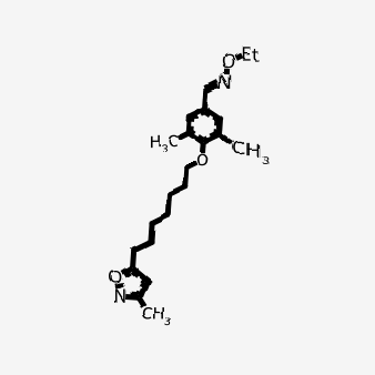 CCON=Cc1cc(C)c(OCCCCCCCc2cc(C)no2)c(C)c1